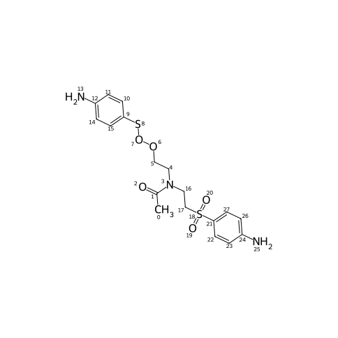 CC(=O)N(CCOOSc1ccc(N)cc1)CCS(=O)(=O)c1ccc(N)cc1